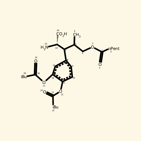 CCCCCC(=O)OCC(C)C(c1ccc(OC(=O)C(C)CC)c(OC(=O)C(C)CC)c1)[C@H](N)C(=O)O